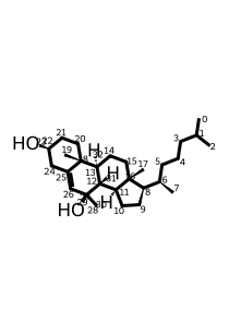 CC(C)CCC[C@@H](C)[C@H]1CC[C@H]2[C@H]3[C@H](CC[C@]12C)[C@@]1(C)CC[C@H](O)CC1=CC3(C)O